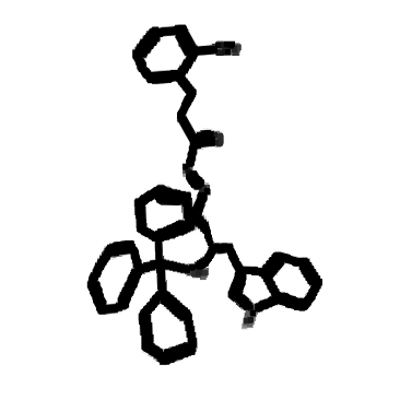 COc1ccccc1CCC(=O)N=NC[C@@H](Cc1c[nH]c2ccccc12)NC(c1ccccc1)(c1ccccc1)c1ccccc1